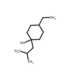 CCC1CCC(O)(CC(C)C)CC1